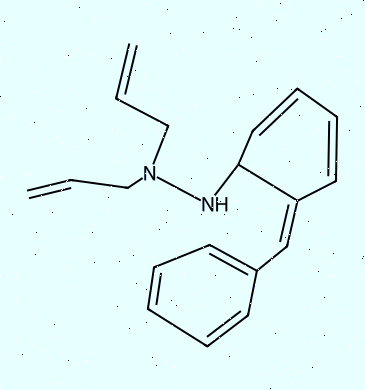 C=CCN(CC=C)NC1C=CC=CC1=Cc1ccccc1